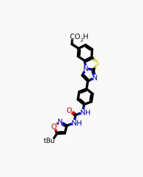 CC(C)(C)c1cc(NC(=O)Nc2ccc(-c3cn4c(n3)sc3ccc(CC(=O)O)cc34)cc2)no1